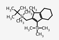 CC1C2=C(CCCC2)[C]([Ti]([CH3])([CH3])[CH3])=C1C[Si](C)(C)C(C)(C)C